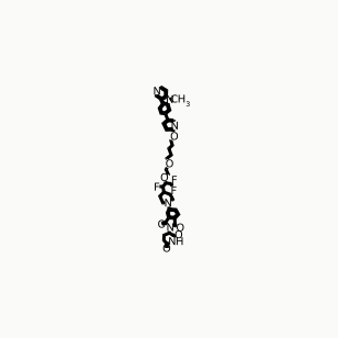 Cn1c2ccncc2c2ccc(-c3ccc(OCCCCCOCCOC(C(F)F)C(F)C4CCN(c5ccc6c(c5)C(=O)N(C5CCC(=O)NC5=O)C6=O)CC4)nc3)cc21